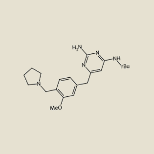 CCCCNc1cc(Cc2ccc(CN3CCCC3)c(OC)c2)nc(N)n1